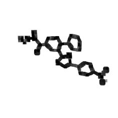 NNC(=O)c1ccc(-c2ccccc2)c(-c2nc(-c3ccc([N+](=O)[O-])cc3)cs2)c1